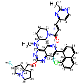 Cc1nccc(/C=C/C(=O)N2CCC[C@H](N(C)c3nc(OC[C@@]45CCCN4C[C@H](F)C5)nc4c(F)c(-c5cccc6cccc(Cl)c56)ncc34)C2)n1